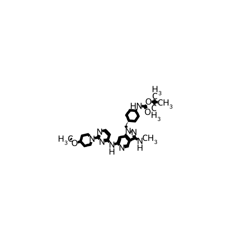 CNc1nn(C[C@H]2CC[C@H](NC(=O)OC(C)(C)C)CC2)c2cc(Nc3ccnc(N4CCC(OC)CC4)n3)ncc12